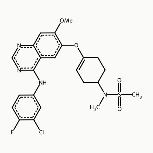 COc1cc2ncnc(Nc3ccc(F)c(Cl)c3)c2cc1OC1=CCC(N(C)S(C)(=O)=O)CC1